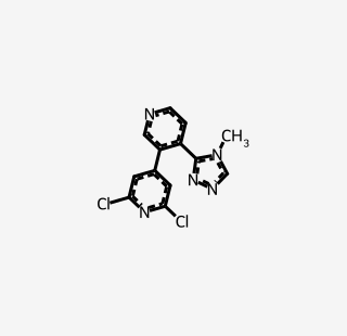 Cn1cnnc1-c1ccncc1-c1cc(Cl)nc(Cl)c1